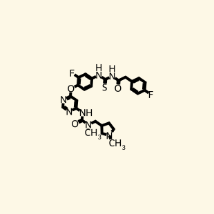 CN1CCC(CN(C)C(=O)Nc2cc(Oc3ccc(NC(=S)NC(=O)Cc4ccc(F)cc4)cc3F)ncn2)C1